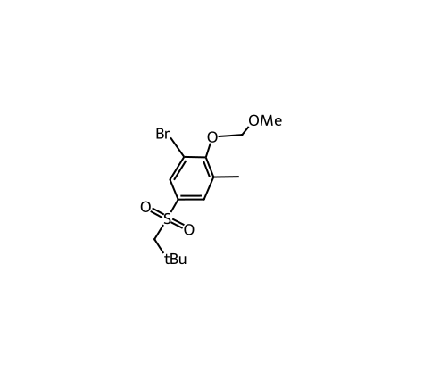 COCOc1c(C)cc(S(=O)(=O)CC(C)(C)C)cc1Br